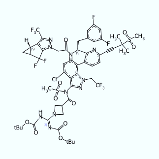 CC(C)(C)OC(=O)/N=C(/NC(=O)OC(C)(C)C)N1CC(C(=O)N(c2nn(CC(F)(F)F)c3c(-c4ccc(C#CC(C)(C)S(C)(=O)=O)nc4[C@H](Cc4cc(F)cc(F)c4)NC(=O)Cn4nc(C(F)(F)F)c5c4C(F)(F)C4C[C@H]54)ccc(Cl)c23)S(C)(=O)=O)C1